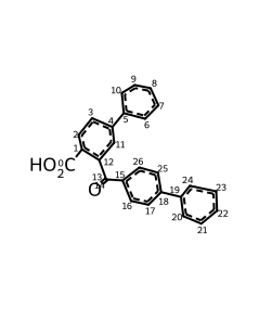 O=C(O)c1ccc(-c2ccccc2)cc1C(=O)c1ccc(-c2ccccc2)cc1